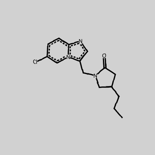 CCCC1CC(=O)N(Cc2cnc3ccc(Cl)cn23)C1